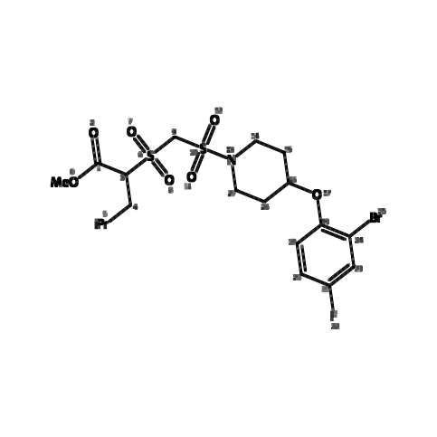 COC(=O)C(CC(C)C)S(=O)(=O)CS(=O)(=O)N1CCC(Oc2ccc(F)cc2Br)CC1